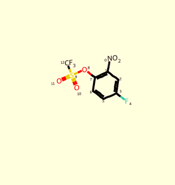 O=[N+]([O-])c1cc(F)ccc1OS(=O)(=O)C(F)(F)F